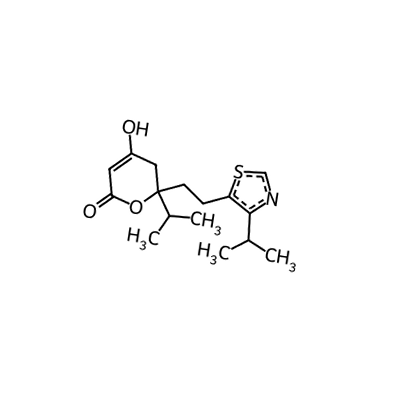 CC(C)c1ncsc1CCC1(C(C)C)CC(O)=CC(=O)O1